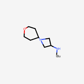 CC(C)(C)NC1CN(C2CCOCC2)C1